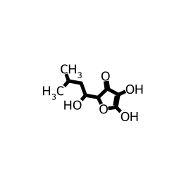 CC(C)CC(O)C1OC(O)=C(O)C1=O